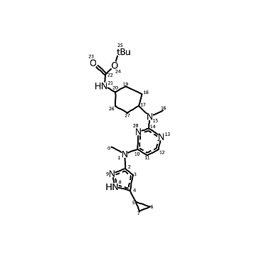 CN(c1cc(C2CC2)[nH]n1)c1ccnc(N(C)C2CCC(NC(=O)OC(C)(C)C)CC2)n1